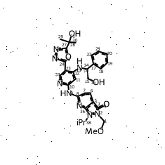 COCn1c(=O)c2ccc(Nc3cc(N[C@H](CO)c4ccccc4)c(-c4nnc(C(C)(C)O)o4)cn3)nc2n1C(C)C